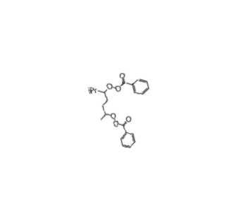 CC(CCC(OOC(=O)c1ccccc1)C(C)C)OOC(=O)c1ccccc1